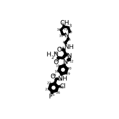 CC1CCN(CCNC(=O)c2ncn(-c3ccc(NC(=O)c4ccc(F)cc4Cl)cc3)c2C(N)=O)CC1